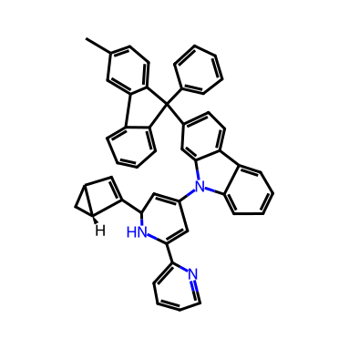 Cc1ccc2c(c1)-c1ccccc1C2(c1ccccc1)c1ccc2c3ccccc3n(C3=CC(C4=CC5C[C@@H]45)NC(c4ccccn4)=C3)c2c1